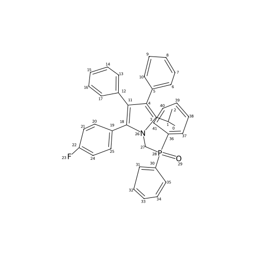 CC(C)c1c(-c2ccccc2)c(-c2ccccc2)c(-c2ccc(F)cc2)n1CP(=O)(c1ccccc1)c1ccccc1